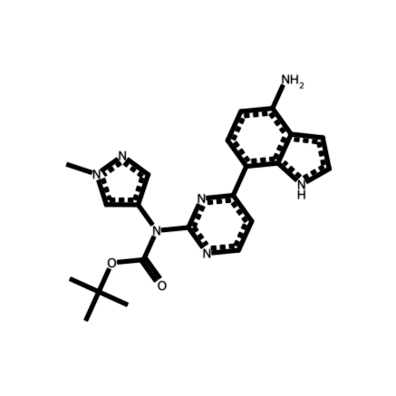 Cn1cc(N(C(=O)OC(C)(C)C)c2nccc(-c3ccc(N)c4cc[nH]c34)n2)cn1